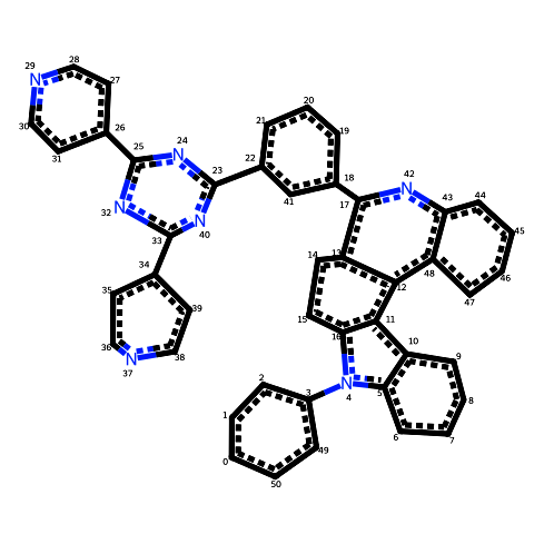 c1ccc(-n2c3ccccc3c3c4c(ccc32)c(-c2cccc(-c3nc(-c5ccncc5)nc(-c5ccncc5)n3)c2)nc2ccccc24)cc1